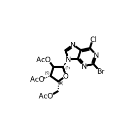 CC(=O)OC[C@H]1O[C@@H](n2cnc3c(Cl)nc(Br)nc32)C(OC(C)=O)[C@H]1OC(C)=O